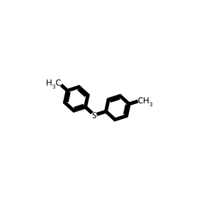 CC1=CCC(Sc2ccc(C)cc2)C=C1